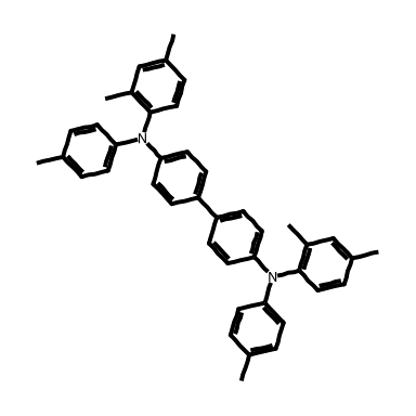 Cc1ccc(N(c2ccc(-c3ccc(N(c4ccc(C)cc4)c4ccc(C)cc4C)cc3)cc2)c2ccc(C)cc2C)cc1